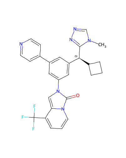 Cn1cnnc1[C@H](c1cc(-c2ccncc2)cc(-n2cc3c(C(F)(F)F)cccn3c2=O)c1)C1CCC1